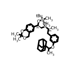 CC(Oc1cccc(C[C@@H](C)NC[C@H](O[Si](C)(C)C(C)(C)C)c2ccc3c(c2)COC(C)(C)O3)c1)C12CC3CC(CC(C3)C1)C2